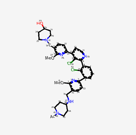 COc1nc(-c2cccc(-c3nccc(-c4ccc(CN5CCC(O)CC5)c(OC)n4)c3Cl)c2Cl)ccc1CNC1CCN(C(C)=O)CC1